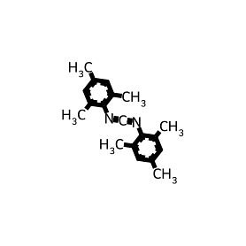 Cc1cc(C)c(N=C=Nc2c(C)cc(C)cc2C)c(C)c1